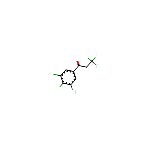 O=C(CC(F)(F)F)c1cc(Cl)c(F)c(Cl)c1